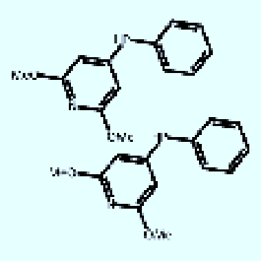 COc1cc(Pc2ccccc2)cc(OC)n1.COc1cc(Pc2ccccc2)cc(OC)n1